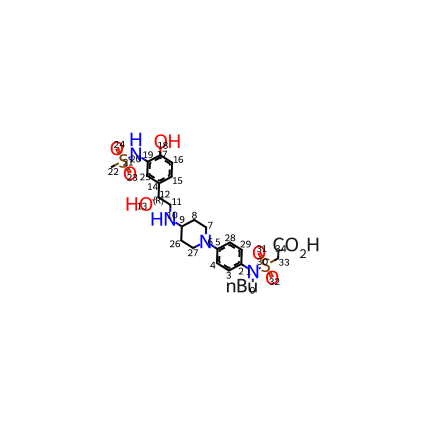 CCCCN(c1ccc(N2CCC(NC[C@H](O)c3ccc(O)c(NS(C)(=O)=O)c3)CC2)cc1)S(=O)(=O)CC(=O)O